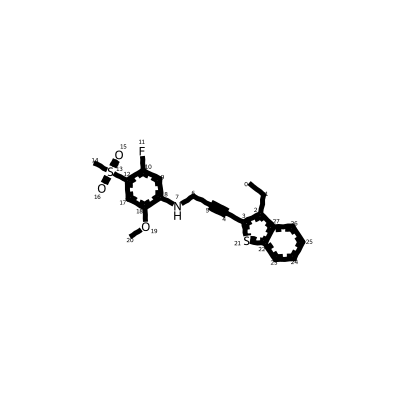 CCc1c(C#CCNc2cc(F)c(S(C)(=O)=O)cc2OC)sc2ccccc12